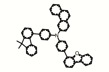 CC1(C)c2ccccc2-c2c(-c3ccc(N(c4ccc(-c5cccc6c5oc5ccccc56)cc4)c4ccc5ccc6ccccc6c5c4)cc3)cccc21